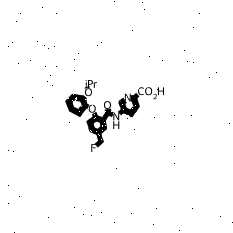 CC(C)Oc1ccccc1Oc1ccc(CF)cc1C(=O)Nc1ccc(C(=O)O)nc1